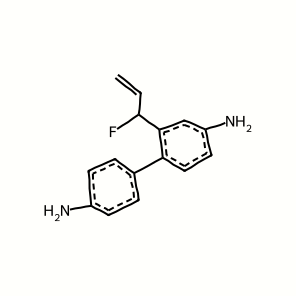 C=CC(F)c1cc(N)ccc1-c1ccc(N)cc1